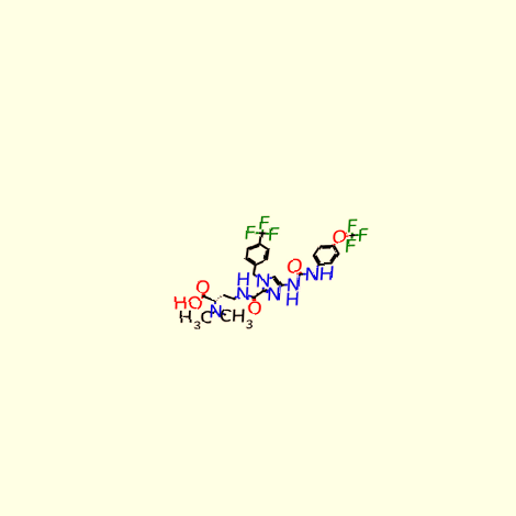 CN(C)[C@@H](CCNC(=O)c1nc(NC(=O)Nc2ccc(OC(F)(F)F)cc2)cn1Cc1ccc(C(F)(F)F)cc1)C(=O)O